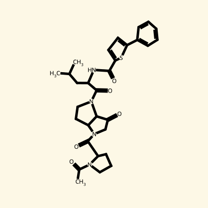 CC(=O)N1CCCC1C(=O)N1CC(=O)C2C1CCN2C(=O)C(CC(C)C)NC(=O)c1ccc(-c2ccccc2)s1